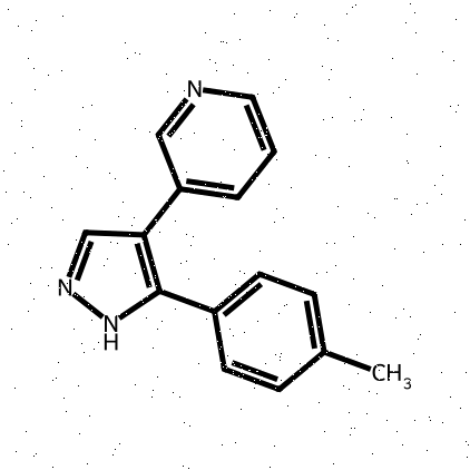 Cc1ccc(-c2[nH]ncc2-c2cccnc2)cc1